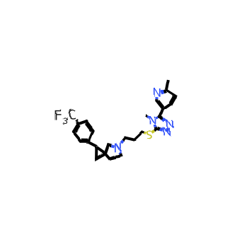 Cc1ccc(-c2nnc(SCCCN3CCC4(CC4c4ccc(C(F)(F)F)cc4)C3)n2C)cn1